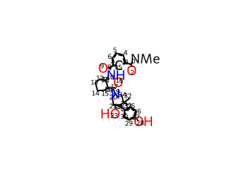 CNC(=O)c1cccc(C(=O)N[C@@H]2CCCC[C@@H]2C(=O)N2CC[C@](O)(c3ccc(O)cc3)C(C)(C)C2)c1